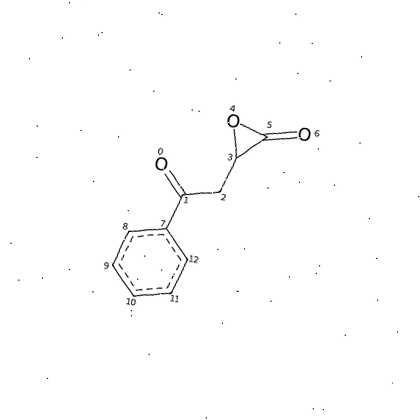 O=C(CC1OC1=O)c1ccccc1